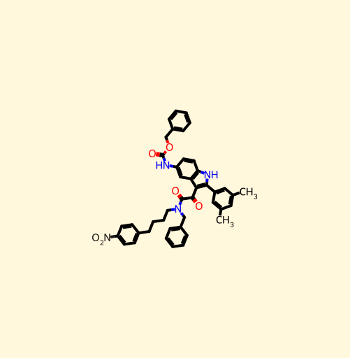 Cc1cc(C)cc(-c2[nH]c3ccc(NC(=O)OCc4ccccc4)cc3c2C(=O)C(=O)N(CCCCc2ccc([N+](=O)[O-])cc2)Cc2ccccc2)c1